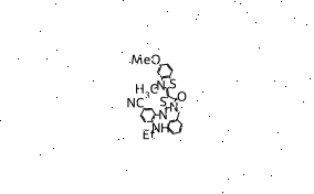 CCNc1ccc(C#N)cc1N=C1SC(=C2Sc3ccc(OC)cc3N2C)C(=O)N1Cc1ccccc1